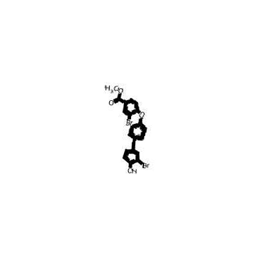 COC(=O)c1ccc(Oc2ccc(-c3ccc(O)c(Br)c3)cc2)c(Br)c1